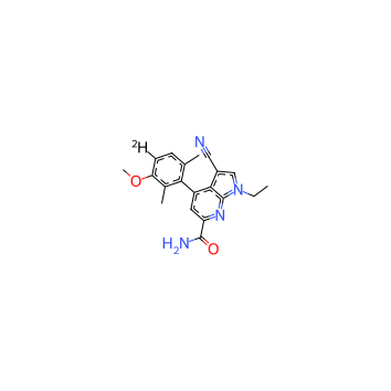 [2H]c1cc(C)c(-c2cc(C(N)=O)nc3c2c(C#N)cn3CC)c(C)c1OC